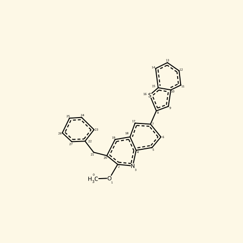 COc1nc2ccc(-c3cc4ccccc4s3)cc2cc1Cc1ccccc1